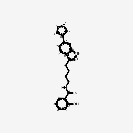 O=C(NCCCCc1n[nH]c2cc(-c3ccoc3)ccc12)c1ccccc1O